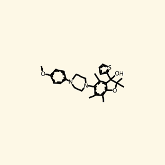 COc1ccc(N2CCN(c3c(C)c(C)c4c(c3C)C(O)(c3cccs3)C(C)(C)O4)CC2)cc1